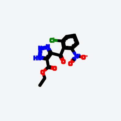 CCOC(=O)c1[nH]nnc1C(=O)c1c(Cl)cccc1[N+](=O)[O-]